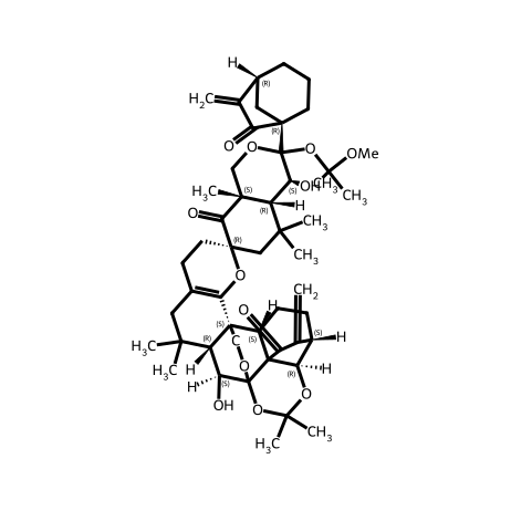 C=C1C(=O)[C@@]2(C3(OC(C)(C)OC)OC[C@@]4(C)C(=O)[C@@]5(CCC6=C(O5)[C@@]57COC8(OC(C)(C)O[C@@H]9[C@H]%10CC[C@@H]5C98C(=O)C%10=C)[C@@H](O)[C@@H]7C(C)(C)C6)CC(C)(C)[C@H]4[C@@H]3O)CCC[C@@H]1C2